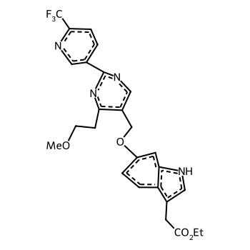 CCOC(=O)Cc1c[nH]c2cc(OCc3cnc(-c4ccc(C(F)(F)F)nc4)nc3CCOC)ccc12